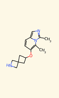 Cc1ncc2ccc(OC3CC4(CNC4)C3)c(C)n12